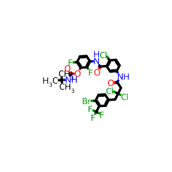 CC(C)(C)NC(=O)Oc1c(F)ccc(NC(=O)c2cc(NC(=O)CC(Cl)(Cl)Cc3ccc(Br)c(C(F)(F)F)c3)ccc2Cl)c1F